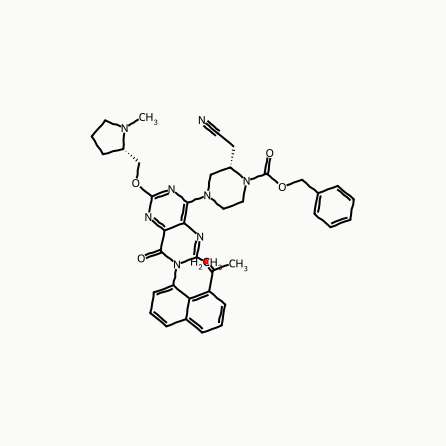 C=C(C)c1cccc2cccc(-n3c(C)nc4c(N5CCN(C(=O)OCc6ccccc6)[C@@H](CC#N)C5)nc(OC[C@@H]5CCCN5C)nc4c3=O)c12